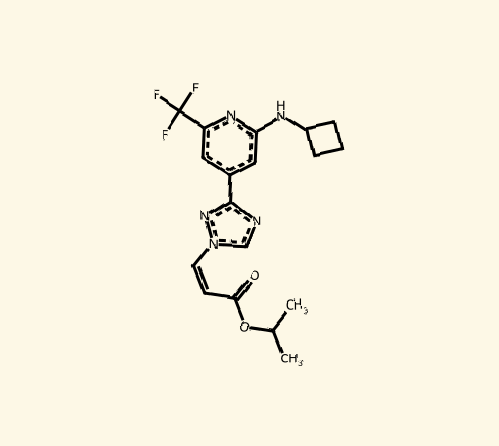 CC(C)OC(=O)/C=C\n1cnc(-c2cc(NC3CCC3)nc(C(F)(F)F)c2)n1